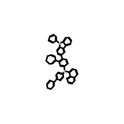 C1=CC(c2ccc(N(c3ccc(-c4ccc5c(c4)c4ccccc4n5-c4ccccc4)c(C4=CCCCC=C4)c3)c3cccc4ccccc34)cc2)=CCC1